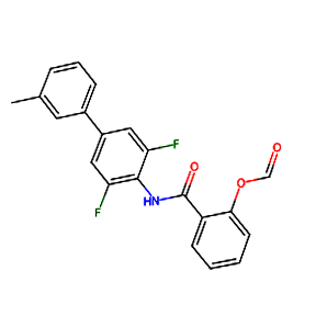 Cc1cccc(-c2cc(F)c(NC(=O)c3ccccc3OC=O)c(F)c2)c1